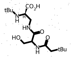 CC(C)(C)CC(=O)NC(CO)C(=O)NC[C@@H](NC(C)(C)C)C(=O)O